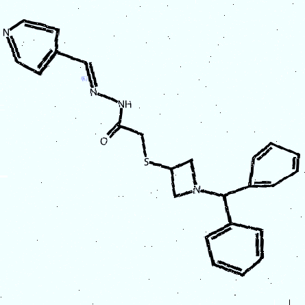 O=C(CSC1CN(C(c2ccccc2)c2ccccc2)C1)N/N=C/c1ccncc1